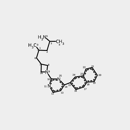 C[C](CC(C)N)CC1CN(c2nccc(-c3ccc4ccccc4c3)n2)C1